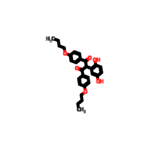 CCCCOc1ccc(C(=O)C(C(=O)c2ccc(OCCCC)cc2)c2cc(O)ccc2O)cc1